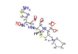 C[N+]1(CC2=C(C(=O)[O-])N3C(=O)C(NC(=O)C(=NO)c4csc(N)n4)[C@@H]3SC2)CCCCC1